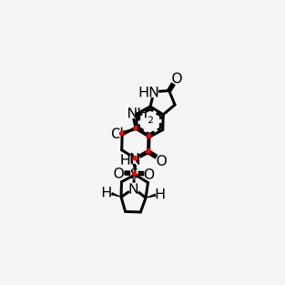 NC1CCN(S(=O)(=O)N2[C@@H]3CC[C@H]2C[C@H](NC(=O)c2cc4c(cc2Cl)NC(=O)C4)C3)CC1